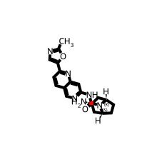 Cc1ncc(-c2ccc3cnc(NC(=O)N4[C@@H]5CC[C@H]4C[C@H](N)C5)cc3n2)o1